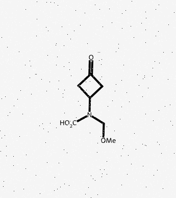 COCN(C(=O)O)C1CC(=O)C1